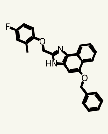 Cc1cc(F)ccc1OCc1nc2c(cc(OCc3ccccc3)c3ccccc32)[nH]1